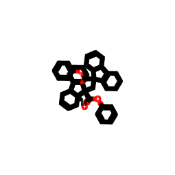 O=C(Oc1ccccc1)C1(CC2(C(=O)Oc3ccccc3)C3=C(CCCC3)C3CC=CC[C@H]32)C2=C(CCCC2)C2CC=CCC21